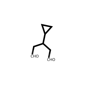 O=CCC(CC=O)C1CC1